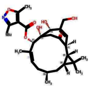 C/C1=C/C[C@H](C)C[C@@H]2[C@H]([C@@H]3C=C(CO)[C@@H](O)[C@@](O)(CC3=O)[C@H]1OC(=O)c1c(C(C)(C)C)noc1C)C2(C)C